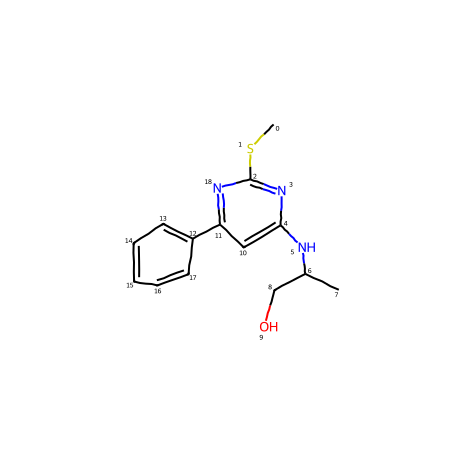 CSc1nc(NC(C)CO)cc(-c2ccccc2)n1